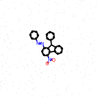 O=[N+]([O-])c1ccc(N=Nc2ccccc2)c2c1-c1ccccc1C2c1ccccc1